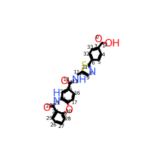 O=C(O)c1ccc(-c2ncc(CNC(=O)c3ccc4c(c3)NC(=O)c3ccccc3O4)s2)cc1